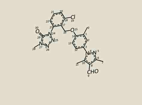 Cc1cc(-n2nc(C)c(C=O)c2C)ccc1OCc1c(Cl)cccc1-n1nnn(C)c1=O